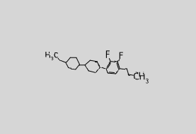 CCCc1ccc(C2CCC(C3CCC(CC)CC3)CC2)c(F)c1F